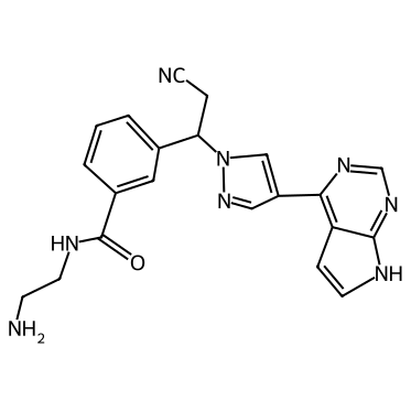 N#CCC(c1cccc(C(=O)NCCN)c1)n1cc(-c2ncnc3[nH]ccc23)cn1